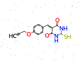 C#CCOc1ccc(C=C2C(=O)NC(S)NC2=O)cc1